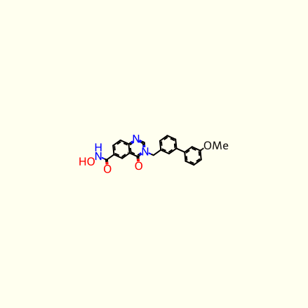 COc1cccc(-c2cccc(Cn3cnc4ccc(C(=O)NO)cc4c3=O)c2)c1